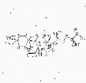 CC[C@]1(O)CC[C@@]2(C)C(=CC[C@H]3[C@@H]4CC[C@H]([C@@H](CC[C@H](O)C(C)C)OC)[C@@]4(C)CC[C@@H]32)C1